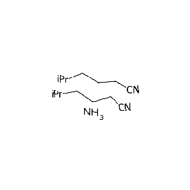 CC(C)CCCC#N.CC(C)CCCC#N.N